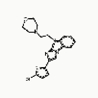 Brc1ccc(-c2cn3c4ccccc4n(CCN4CCOCC4)c3n2)s1